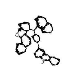 c1ccc2c(N(c3ccc(-c4ccc5sc6ccccc6c5c4)cc3)c3cccc4oc5c6ccccc6ccc5c34)cccc2c1